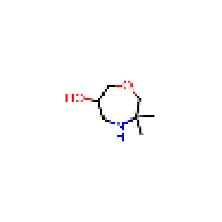 CC1(C)COCC(O)CN1